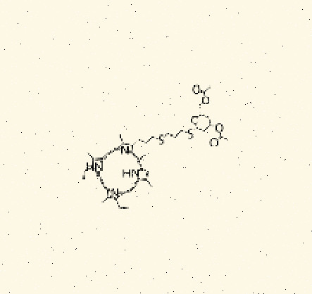 C=Cc1c(C)c2cc3nc(c(C)c4cc(C)c(cc5nc(cc1[nH]2)C(C)=C5CC)[nH]4)[C@@H](CCCSCCCS[C@H]1C[C@@H](OC(C)=O)C[C@@H](COC(C)=O)O1)[C@@H]3C